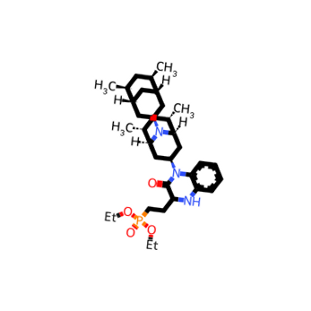 CCOP(=O)(CCC1Nc2ccccc2N([C@@H]2C[C@@H]3[C@@H](C)C[C@@H](C)[C@H](C2)N3[C@@H]2C[C@@H]3C[C@H](C2)[C@@H](C)C[C@H]3C)C1=O)OCC